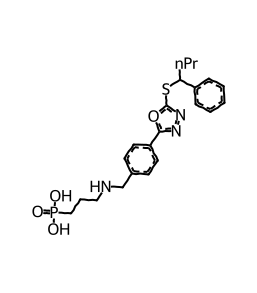 CCCC(Sc1nnc(-c2ccc(CNCCCP(=O)(O)O)cc2)o1)c1ccccc1